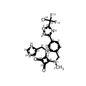 CN(Cc1ccc(-c2noc(C(F)(F)Cl)n2)cc1)c1c(NCc2cscn2)c(=O)c1=O